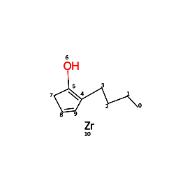 CCCCC1=C(O)CC=C1.[Zr]